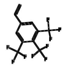 C=Cc1cc(C(F)(F)F)c(C(F)(F)F)c(C(F)(F)F)c1